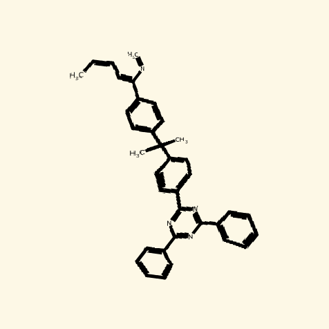 C=N/C(=C\C=C/C)c1ccc(C(C)(C)c2ccc(-c3nc(-c4ccccc4)nc(-c4ccccc4)n3)cc2)cc1